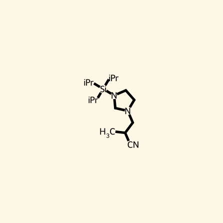 CC(C#N)CN1CCN([Si](C(C)C)(C(C)C)C(C)C)C1